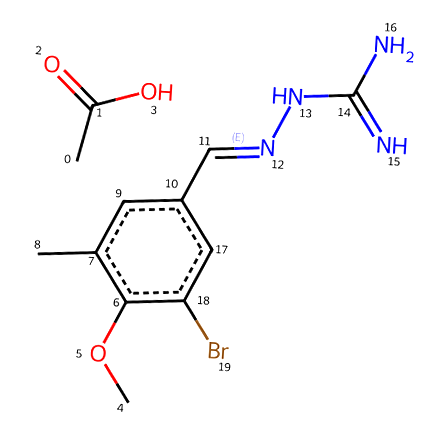 CC(=O)O.COc1c(C)cc(/C=N/NC(=N)N)cc1Br